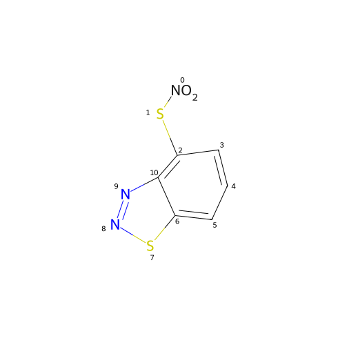 O=[N+]([O-])Sc1cccc2snnc12